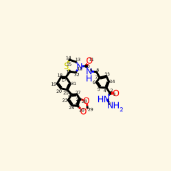 NNC(=O)c1ccc(CNC(=O)N2CCSC(c3cccc(-c4ccc5c(c4)OCO5)c3)C2)cc1